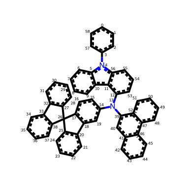 c1ccc(-n2c3ccccc3c3c(N(c4ccc5c(c4)-c4ccccc4C54c5ccccc5-c5ccccc54)c4cc5ccccc5c5ccccc45)cccc32)cc1